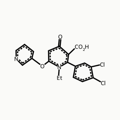 CCn1c(Oc2cccnc2)cc(=O)c(C(=O)O)c1-c1ccc(Cl)c(Cl)c1